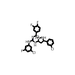 O=C(/N=C(/Nc1cc(F)cc(Cl)c1)NC1CC(c2cccc(Cl)c2)NN1)c1ccc(F)c(F)c1